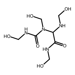 O=C(NCO)C(NCO)N(CO)C(=O)NCO